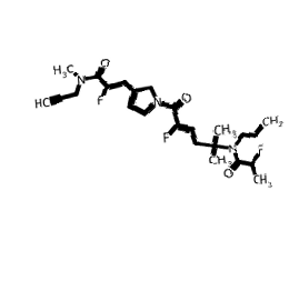 C#CCN(C)C(=O)/C(F)=C/C1=CCN(C(=O)/C(F)=C/CC(C)(C)N(CC=C)C(=O)C(C)F)C1